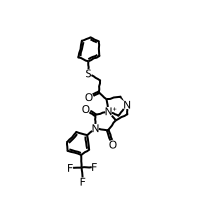 O=C(CSc1ccccc1)C1C[N@@]2CC3C(=O)N(c4cccc(C(F)(F)F)c4)C(=O)[N+]13C2